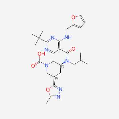 Cc1nnc([C@@H]2C[C@H](N(CC(C)C)C(=O)c3cnc(C(C)(C)C)nc3NCc3ccco3)CN(C(=O)O)C2)o1